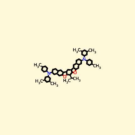 Cc1ccc(N(c2cc(C)cc(C)c2)c2ccc3cc4c(cc3c2)oc2c(C(C)C)c3oc5cc6cc(N(c7ccc(C)cc7)c7cc(C)cc(C)c7)ccc6cc5c3cc24)cc1